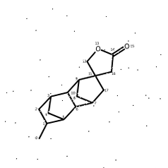 CC1CC2CC1C1C3CC(C21)C1(COC(=O)C1)C3